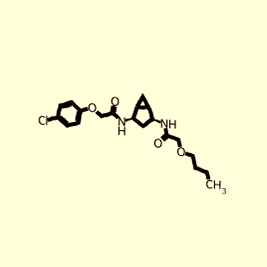 CCCCOCC(=O)N[C@H]1C[C@@H](NC(=O)COc2ccc(Cl)cc2)C2CC21